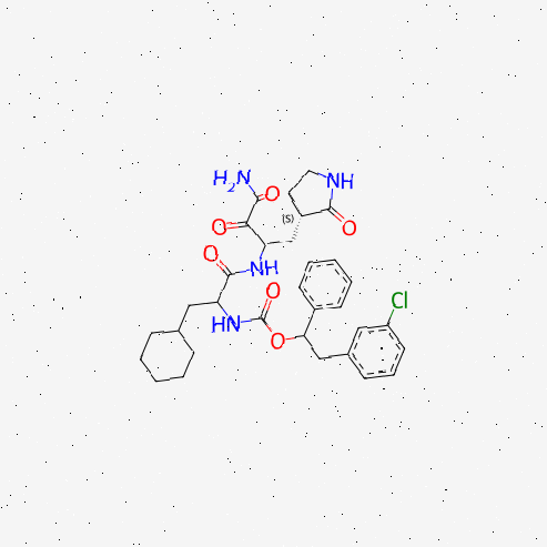 NC(=O)C(=O)C(C[C@@H]1CCNC1=O)NC(=O)C(CC1CCCCC1)NC(=O)OC(Cc1cccc(Cl)c1)c1ccccc1